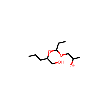 CCCC(CO)OC(CC)OCC(C)O